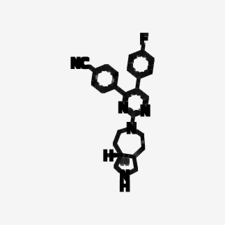 N#Cc1ccc(-c2nc(N3CCC4CNC[C@@H]4CC3)ncc2-c2ccc(F)cc2)cc1